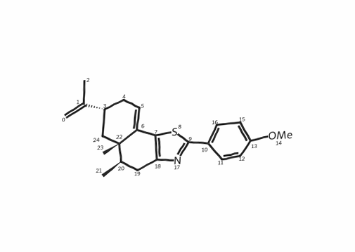 C=C(C)[C@@H]1CC=C2c3sc(-c4ccc(OC)cc4)nc3C[C@@H](C)[C@]2(C)C1